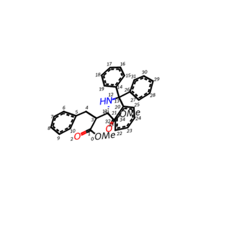 COC(=O)C(Cc1ccccc1)[C@H](NC(c1ccccc1)(c1ccccc1)c1ccccc1)C(=O)OC